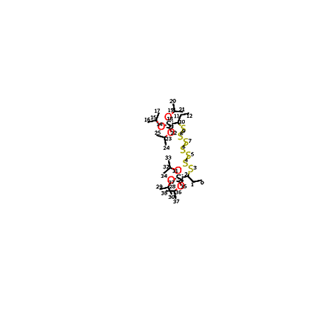 CCC(SSSSSSSC(CC)[Si](OC(C)C)(OC(C)C)OC(C)C)[Si](OC(C)C)(OC(C)C)OC(C)C